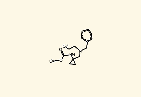 CC(C)(C)OC(=O)NC1(CN(CCO)Cc2ccccc2)CC1